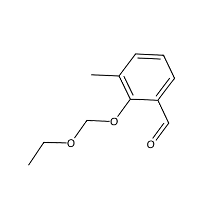 CCOCOc1c(C)cccc1C=O